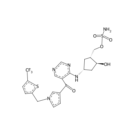 NS(=O)(=O)OC[C@H]1C[C@@H](Nc2ncncc2C(=O)c2ccn(Cc3ccc(C(F)(F)F)s3)c2)C[C@@H]1O